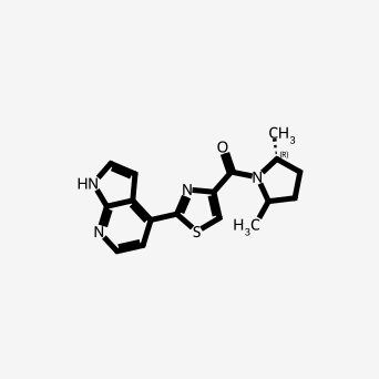 CC1CC[C@@H](C)N1C(=O)c1csc(-c2ccnc3[nH]ccc23)n1